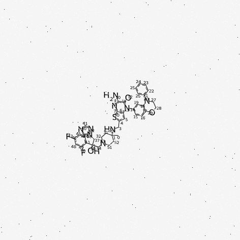 CC1(NCc2cc3c(nc(N)c(=O)n3-c3ccc4c(c3)N(c3ccccc3)CCO4)s2)CCN(CC(O)(Cn2cncn2)c2ccc(F)cc2F)CC1